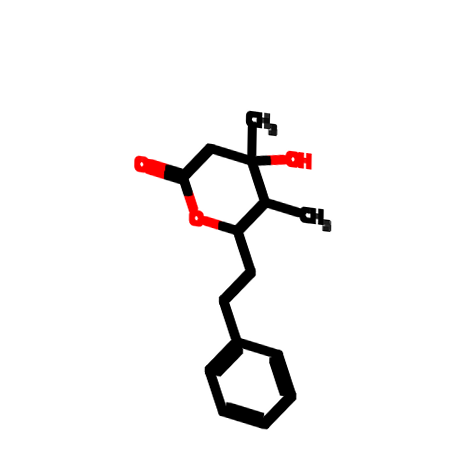 CC1C(CCc2ccccc2)OC(=O)CC1(C)O